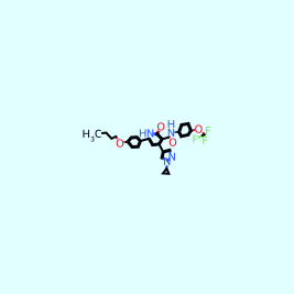 CCCCOc1ccc(-c2cc(-c3cnn(C4CC4)c3)c(C(=O)Nc3ccc(OC(F)(F)F)cc3)c(=O)[nH]2)cc1